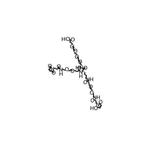 O=C(O)CCOCCOCCOCCOCCNC(=O)[C@H](CCCCNC(=O)CCOCCOCCNC(=O)CCN1C(=O)C=CC1O)NC(=O)CCOCCOCCNC(=O)CCN1C(=O)C=CC1=O